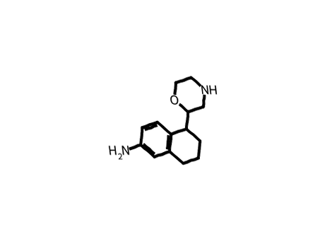 Nc1ccc2c(c1)CCCC2C1CNCCO1